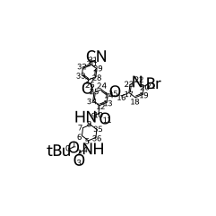 CC(C)(C)OC(=O)NC1CCC(NC(=O)c2cc(OCc3ccc(Br)nc3)cc(Oc3ccc(C#N)cc3)c2)CC1